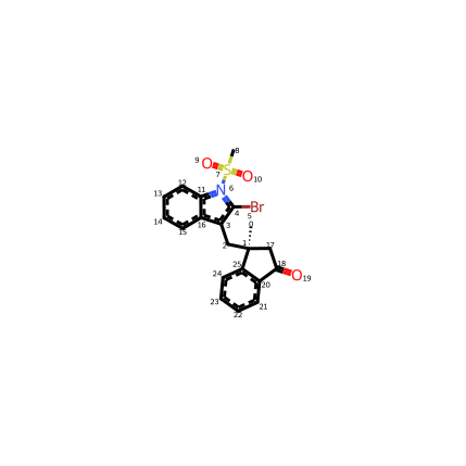 C[C@]1(Cc2c(Br)n(S(C)(=O)=O)c3ccccc23)CC(=O)c2ccccc21